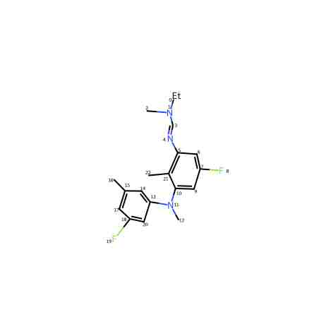 CCN(C)/C=N/c1cc(F)cc(N(C)c2cc(C)cc(F)c2)c1C